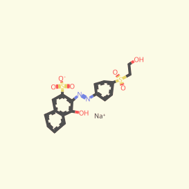 O=S(=O)([O-])c1cc2ccccc2c(O)c1N=Nc1ccc(S(=O)(=O)CCO)cc1.[Na+]